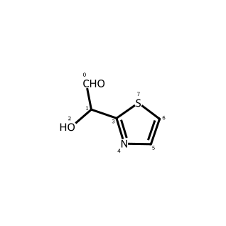 O=CC(O)c1nccs1